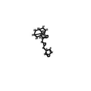 O=C(COCc1ccoc1)C12CC3CC(CC(C3)C1)C2